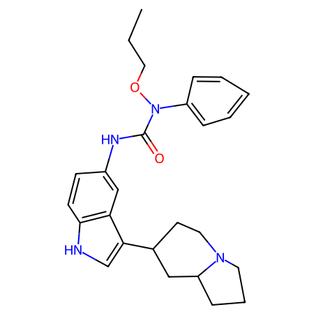 CCCON(C(=O)Nc1ccc2[nH]cc(C3CCN4CCCC4C3)c2c1)c1ccccc1